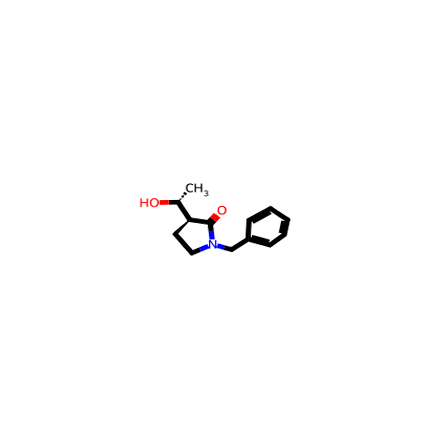 C[C@@H](O)[C@@H]1CCN(Cc2ccccc2)C1=O